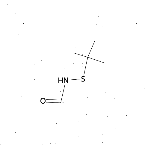 CC(C)(C)SN[C]=O